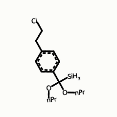 CCCOC([SiH3])(OCCC)c1ccc(CCCl)cc1